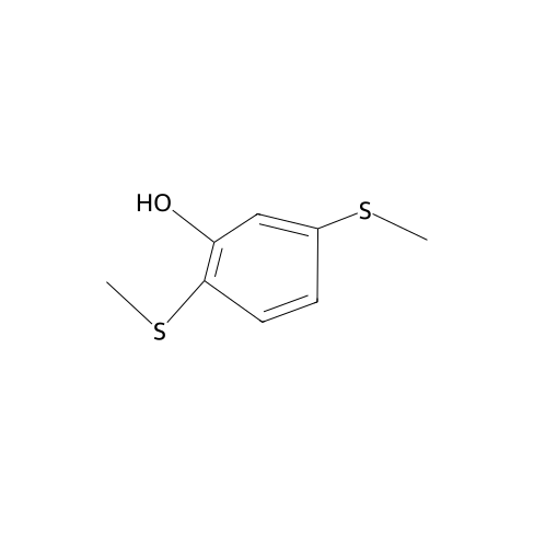 CSc1ccc(SC)c(O)c1